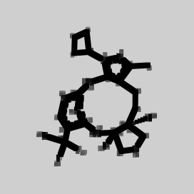 Cc1nn(C2CCC2)c2c1CC[C@H]1COC[C@@H]1Nc1nc(ncc1C(F)(F)F)N2